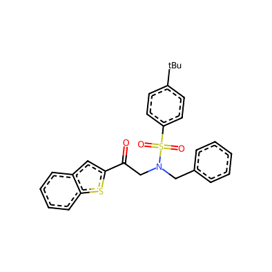 CC(C)(C)c1ccc(S(=O)(=O)N(CC(=O)c2cc3ccccc3s2)Cc2ccccc2)cc1